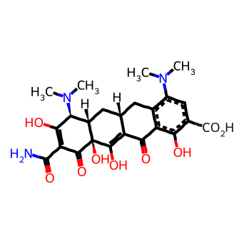 CN(C)c1cc(C(=O)O)c(O)c2c1C[C@H]1C[C@H]3[C@H](N(C)C)C(O)=C(C(N)=O)C(=O)[C@@]3(O)C(O)=C1C2=O